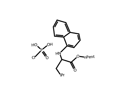 CCCCCOC(=O)C(CC(C)C)Nc1cccc2ccccc12.O=P(O)(O)Cl